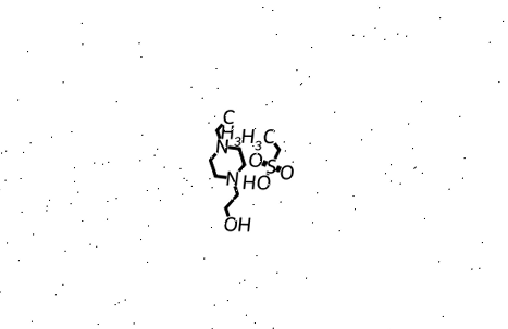 CCN1CCN(CCO)CC1.CCS(=O)(=O)O